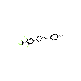 CCC[C@H]1CC[C@H](CC[SiH]2CCC(c3cc(F)c(C(F)=CF)c(F)c3)CC2)CC1